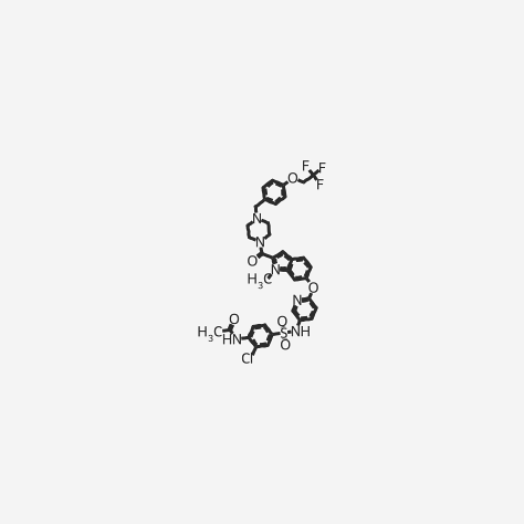 CC(=O)Nc1ccc(S(=O)(=O)Nc2ccc(Oc3ccc4cc(C(=O)N5CCN(Cc6ccc(OCC(F)(F)F)cc6)CC5)n(C)c4c3)nc2)cc1Cl